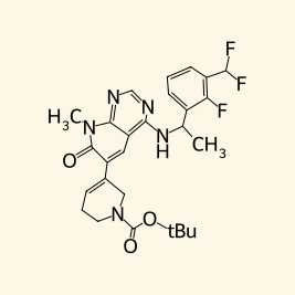 CC(Nc1ncnc2c1cc(C1=CCCN(C(=O)OC(C)(C)C)C1)c(=O)n2C)c1cccc(C(F)F)c1F